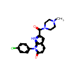 CN1CCN(C(=O)c2cc3ccc(=O)n(-c4ccc(Cl)cc4)c3[nH]2)CC1